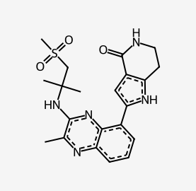 Cc1nc2cccc(-c3cc4c([nH]3)CCNC4=O)c2nc1NC(C)(C)CS(C)(=O)=O